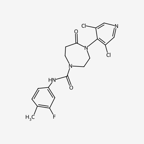 Cc1ccc(NC(=O)N2CCC(=O)N(c3c(Cl)cncc3Cl)CC2)cc1F